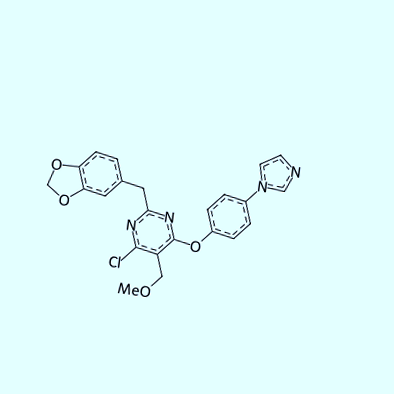 COCc1c(Cl)nc(Cc2ccc3c(c2)OCO3)nc1Oc1ccc(-n2ccnc2)cc1